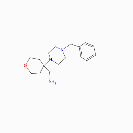 NCC1(N2CCN(Cc3ccccc3)CC2)CCOCC1